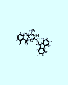 Cc1cccc2nc([C@@H](NC(=O)COC3c4ccccc4-c4ccccc43)C(C)C)oc(=O)c12